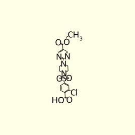 CCOC(=O)c1cnc(N2CCN(S(=O)(=O)c3ccc(C(=O)O)c(Cl)c3)CC2)nc1